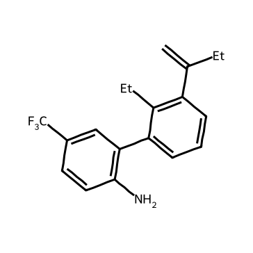 C=C(CC)c1cccc(-c2cc(C(F)(F)F)ccc2N)c1CC